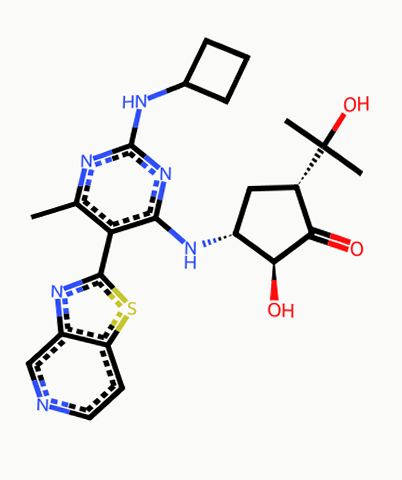 Cc1nc(NC2CCC2)nc(N[C@@H]2C[C@H](C(C)(C)O)C(=O)[C@H]2O)c1-c1nc2cnccc2s1